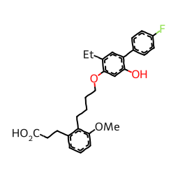 CCc1cc(-c2ccc(F)cc2)c(O)cc1OCCCCc1c(CCC(=O)O)cccc1OC